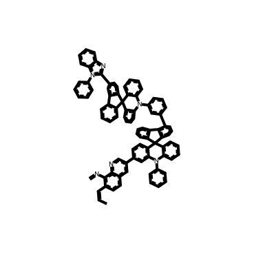 C=Nc1c(/C=C\C)ccc2cc(-c3ccc4c(c3)N(c3ccccc3)c3ccccc3C43c4ccccc4-c4c(-c5cccc(N6c7ccccc7C7(c8ccccc8-c8cc(-c9nc%10ccccc%10n9-c9ccccc9)ccc87)c7ccccc76)c5)cccc43)cnc12